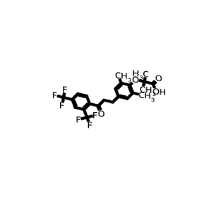 Cc1cc(CCC(=O)c2ccc(C(F)(F)F)cc2C(F)(F)F)cc(C)c1OC(C)(C)C(=O)O